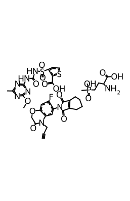 C#CCN1C(=O)COc2cc(F)c(N3C(=O)C4=C(CCCC4)C3=O)cc21.COc1nc(C)nc(NC(=O)NS(=O)(=O)c2ccsc2C(=O)O)n1.CP(=O)(O)CCC(N)C(=O)O